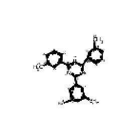 Bc1cc(Br)cc(-c2nc(-c3cccc(C)c3)nc(-c3cccc(C)c3)n2)c1